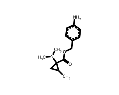 CC1CC1(C(=O)OCc1ccc(N)cc1)N(C)C